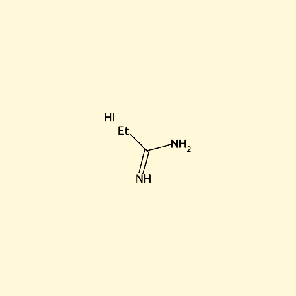 CCC(=N)N.I